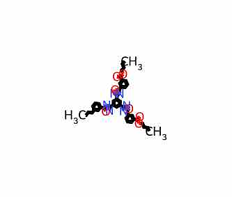 CCCCOC(=O)c1cccc(-c2nc(-c3cc(-c4noc(-c5cccc(CCCC)c5)n4)cc(-c4noc(-c5cccc(C(=O)OCCCC)c5)n4)c3)no2)c1